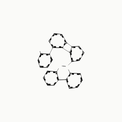 Fc1ccccc1-c1cc[c]c2c1-c1c-2cccc1P1Oc2ccccc2-c2ccccc21